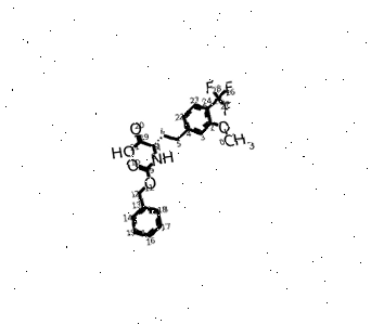 COc1cc(CC[C@H](NC(=O)OCc2ccccc2)C(=O)O)ccc1C(F)(F)F